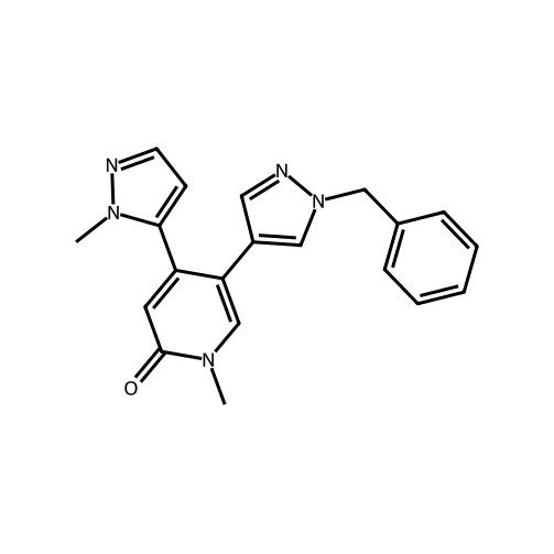 Cn1nccc1-c1cc(=O)n(C)cc1-c1cnn(Cc2ccccc2)c1